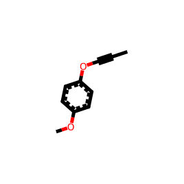 CC#COc1ccc(OC)cc1